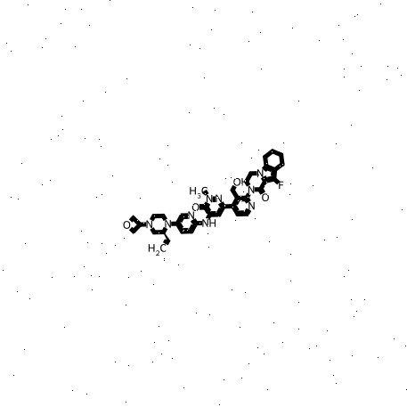 C=C[C@H]1CN(C2COC2)CCN1c1ccc(Nc2cc(-c3ccnc(N4CCn5c6c(c(F)c5C4=O)CCCC6)c3CO)nn(C)c2=O)nc1